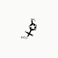 CCOC(=O)C(F)(F)c1nnc(N)s1